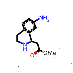 COC(=O)CC1NCCc2ccc(N)cc21